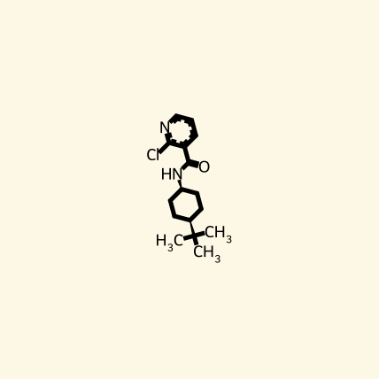 CC(C)(C)[C@H]1CC[C@@H](NC(=O)c2cccnc2Cl)CC1